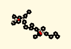 c1ccc(-c2ccc(N(c3ccc(-c4cccc(-c5ccc(-c6ccc7c(c6)c6ccccc6n7-c6ccccc6N(c6ccc(-c7ccccc7)cc6)c6ccc(-c7cccc(-c8cccc9ccccc89)c7)cc6)c6ccccc56)c4)cc3)c3ccc(-c4ccccc4-n4c5ccccc5c5ccccc54)cc3)cc2)cc1